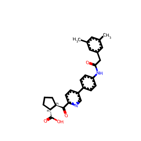 Cc1cc(C)cc(CC(=O)Nc2ccc(-c3ccc(C(=O)[C@@H]4CCC[C@H]4C(=O)O)nc3)cc2)c1